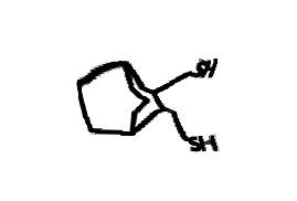 SC1C2CCC(C2)C1S